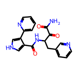 NC(=O)C(=O)C(Cc1cccnc1)NC(=O)c1c[nH]cc1-c1ccccn1